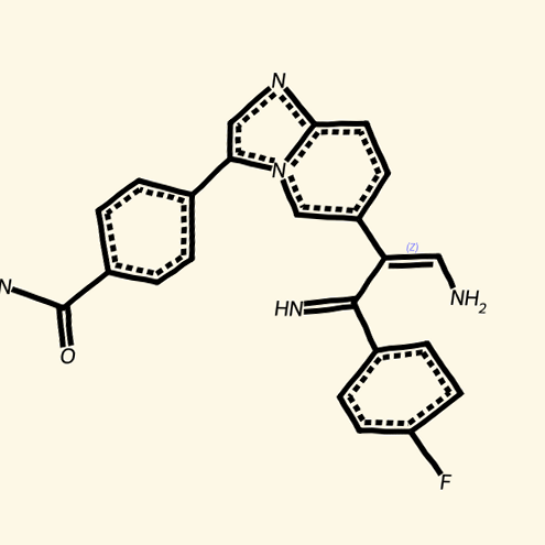 N=C(/C(=C\N)c1ccc2ncc(-c3ccc(C(N)=O)cc3)n2c1)c1ccc(F)cc1